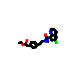 CCOC(=O)Cc1ccc(CCNC(=O)c2cc(Cl)cc3cccnc23)cc1